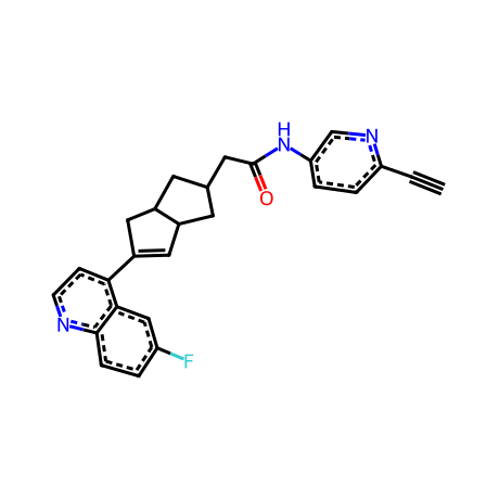 C#Cc1ccc(NC(=O)CC2CC3C=C(c4ccnc5ccc(F)cc45)CC3C2)cn1